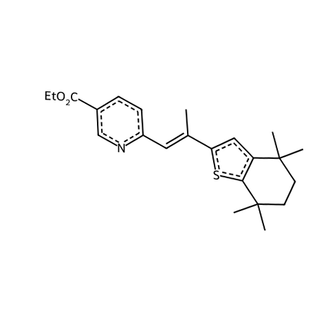 CCOC(=O)c1ccc(C=C(C)c2cc3c(s2)C(C)(C)CCC3(C)C)nc1